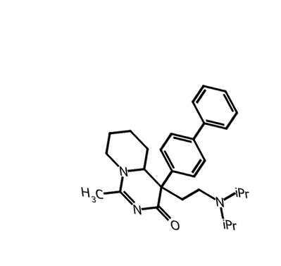 CC1=NC(=O)C(CCN(C(C)C)C(C)C)(c2ccc(-c3ccccc3)cc2)C2CCCCN12